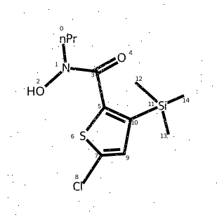 CCCN(O)C(=O)c1sc(Cl)cc1[Si](C)(C)C